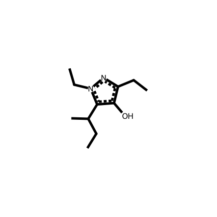 CCc1nn(CC)c(C(C)CC)c1O